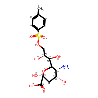 Cc1ccc(S(=O)(=O)OC[C@@H](O)[C@@H](O)C2O[C@](O)(C(=O)O)C[C@@H](O)[C@H]2N)cc1